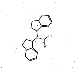 CC(C)[SiH](C)[Zr]([CH]1CCC2CC=CC=C21)[CH]1CCC2CC=CC=C21